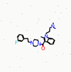 Cc1c(C(=O)N2CCN(CCc3cccc(F)c3)CC2)c2ccccc2n1CCCN(C)C